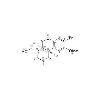 COc1cc2c(cc1Br)OC[C@@H]1[C@@H](CO)CNC[C@@H]21